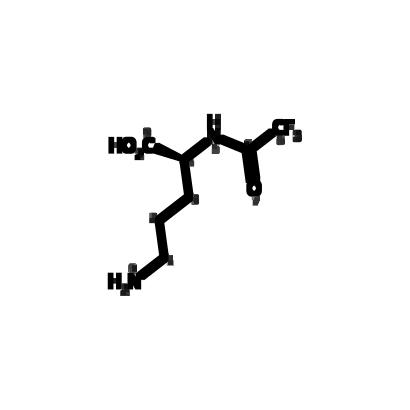 NCCC[C@H](NC(=O)C(F)(F)F)C(=O)O